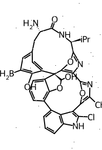 Bc1cc2cc(c1O)[C@]13c4cccc(c4OC1O)-c1cccc4[nH]c(Cl)c(c14)-c1oc(nc1Cl)-c1nc(oc13)[C@H](C(C)C)NC(=O)[C@@H](N)C2